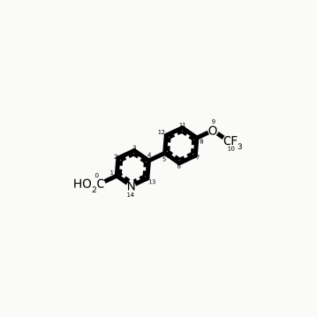 O=C(O)c1ccc(-c2ccc(OC(F)(F)F)cc2)cn1